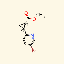 COC(=O)[C@H]1C[C@@H]1c1ccc(Br)cn1